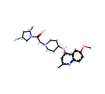 COc1ccc2nc(C)cc(OC3CCN(CC(=O)N4C[C@@H](F)C[C@H]4C)CC3)c2c1